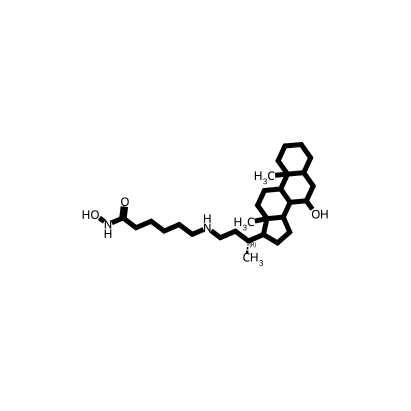 C[C@H](CCNCCCCCC(=O)NO)C1CCC2C3C(O)CC4CCCCC4(C)C3CCC21C